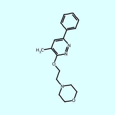 Cc1cc(-c2ccccc2)nnc1OCCN1CCOCC1